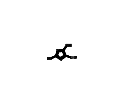 O=Cc1nc(O)sc1C=O